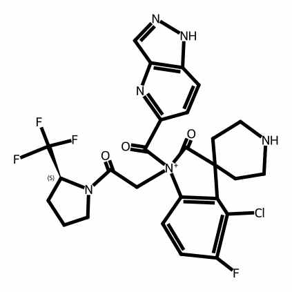 O=C(C[N+]1(C(=O)c2ccc3[nH]ncc3n2)C(=O)C2(CCNCC2)c2c1ccc(F)c2Cl)N1CCC[C@H]1C(F)(F)F